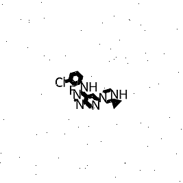 Fc1c(Cl)cccc1Nc1ncnc2cnc(N3CCNC4(CC4)C3)cc12